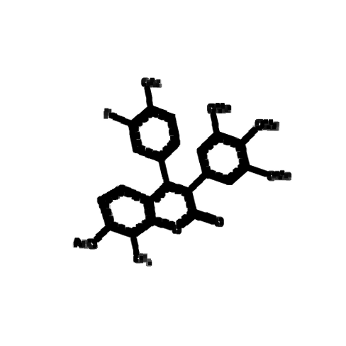 COc1cc(-c2c(-c3ccc(OC(C)=O)c(F)c3)c3ccc(OC(C)=O)c(C)c3oc2=O)cc(OC)c1OC